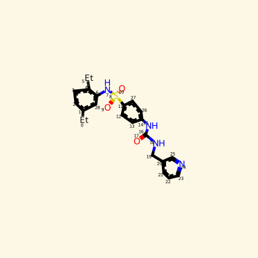 CCc1ccc(CC)c(NS(=O)(=O)c2ccc(NC(=O)NCc3cccnc3)cc2)c1